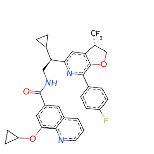 O=C(NC[C@H](c1cc2c(c(-c3ccc(F)cc3)n1)OC[C@H]2C(F)(F)F)C1CC1)c1cc(OC2CC2)c2ncccc2c1